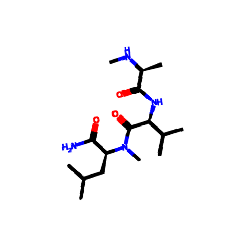 CN[C@@H](C)C(=O)N[C@H](C(=O)N(C)[C@@H](CC(C)C)C(N)=O)C(C)C